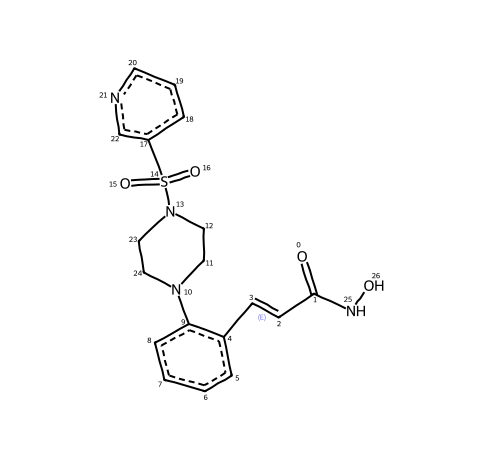 O=C(/C=C/c1ccccc1N1CCN(S(=O)(=O)c2cccnc2)CC1)NO